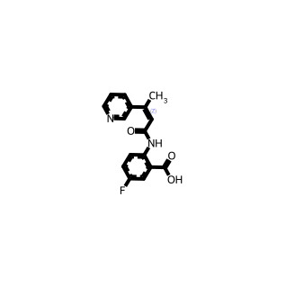 C/C(=C/C(=O)Nc1ccc(F)cc1C(=O)O)c1cccnc1